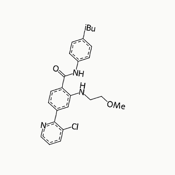 CCC(C)c1ccc(NC(=O)c2ccc(-c3ncccc3Cl)cc2NCCOC)cc1